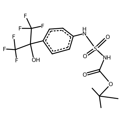 CC(C)(C)OC(=O)NS(=O)(=O)Nc1ccc(C(O)(C(F)(F)F)C(F)(F)F)cc1